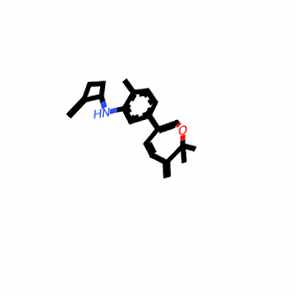 C=C1CCC1Nc1cc(C2=COC(C)(C)C(=C)C=C2)ccc1C